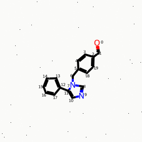 O=[C]c1ccc(Cn2cncc2-c2ccccc2)cc1